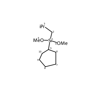 CO[Si](CC(C)C)(OC)C1CCCCC1